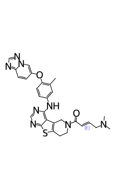 Cc1cc(Nc2ncnc3sc4c(c23)CN(C(=O)/C=C/CN(C)C)CC4)ccc1Oc1ccc2ncnn2c1